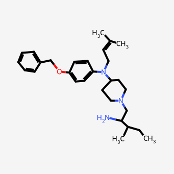 CCC(C)C(N)CN1CCC(N(CC=C(C)C)c2ccc(OCc3ccccc3)cc2)CC1